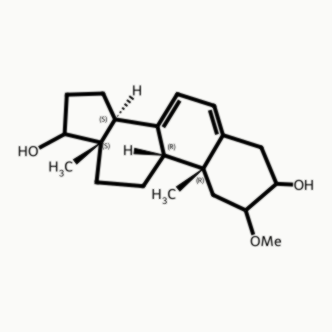 COC1C[C@@]2(C)C(=CC=C3[C@H]2CC[C@]2(C)C(O)CC[C@@H]32)CC1O